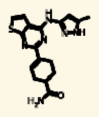 Cc1cc(Nc2nc(C3=CCC(C(N)=O)CC3)nc3sccc23)n[nH]1